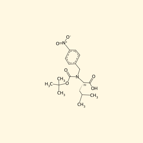 CC(C)C[C@@H](C(=O)O)N(Cc1ccc([N+](=O)[O-])cc1)C(=O)OC(C)(C)C